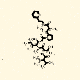 CC[C@H](C)[C@@H]([C@@H](CC(=O)N1CCCC1[C@H](OC)[C@@H](C)C(=O)NCCc1ccccn1)OC)N(C)C(=O)[C@@H](NC(=O)C(C(C)C)N(C)C)[C@@H](C)O